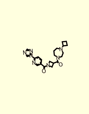 O=C(c1ccc(-n2cncn2)nc1)N1CC(C(=O)N2CCCN(C3CCC3)CC2)C1